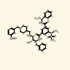 COc1cccc(CN2CCC(CNC[C@@H](O)[C@H](Cc3ccccc3)NC(=O)c3cc(C(=O)N[C@H](C)c4ccccc4)cc(N(C)S(C)(=O)=O)c3)CC2)c1